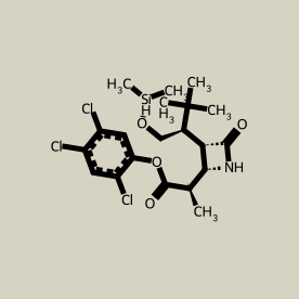 C[C@@H](C(=O)Oc1cc(Cl)c(Cl)cc1Cl)[C@H]1NC(=O)[C@H]1[C@@H](CO[SiH](C)C)C(C)(C)C